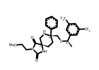 COCCN1C(=O)N[C@]2(CC[C@@](CO[C@H](C)c3cc(C(F)(F)F)cc(C(F)(F)F)c3)(c3ccccc3)NC2)C1=O